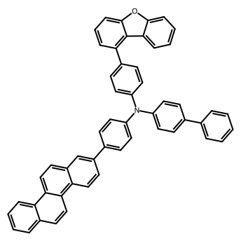 c1ccc(-c2ccc(N(c3ccc(-c4ccc5c(ccc6c7ccccc7ccc56)c4)cc3)c3ccc(-c4cccc5oc6ccccc6c45)cc3)cc2)cc1